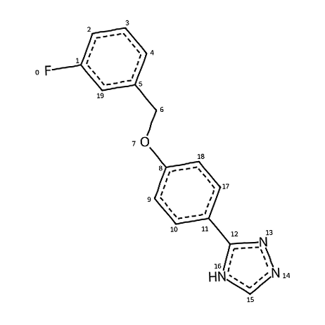 Fc1cccc(COc2ccc(-c3nnc[nH]3)cc2)c1